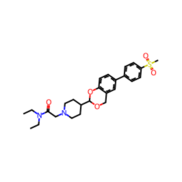 CCN(CC)C(=O)CN1CCC(C2OCc3cc(-c4ccc(S(C)(=O)=O)cc4)ccc3O2)CC1